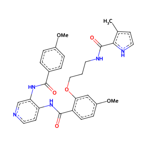 COc1ccc(C(=O)Nc2cnccc2NC(=O)c2ccc(OC)cc2OCCCNC(=O)c2[nH]ccc2C)cc1